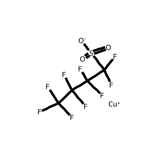 O=S(=O)([O-])C(F)(F)C(F)(F)C(F)(F)C(F)(F)F.[Cu+]